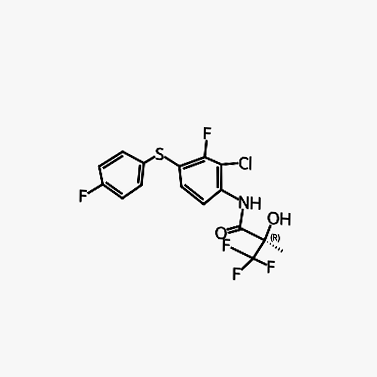 C[C@@](O)(C(=O)Nc1ccc(Sc2ccc(F)cc2)c(F)c1Cl)C(F)(F)F